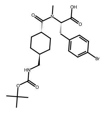 CN(C(=O)[C@H]1CC[C@H](CNC(=O)OC(C)(C)C)CC1)[C@@H](Cc1ccc(Br)cc1)C(=O)O